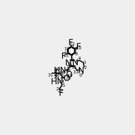 CN1CCCn2c(-c3cc(F)c(F)cc3F)nc(C(=O)NC(C(=O)NCCF)C(C)(C)C)c2C1